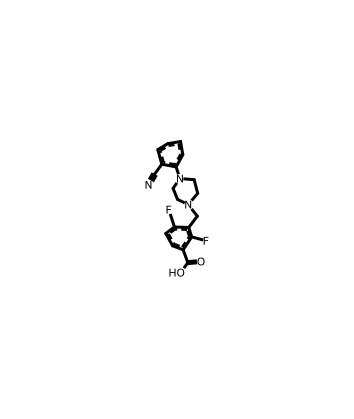 N#Cc1ccccc1N1CCN(Cc2c(F)ccc(C(=O)O)c2F)CC1